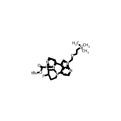 CC(C)(C)OC(=O)NC1CN(c2ccnc3c2c(-c2ccncn2)cn3COCC[Si](C)(C)C)CCC1F